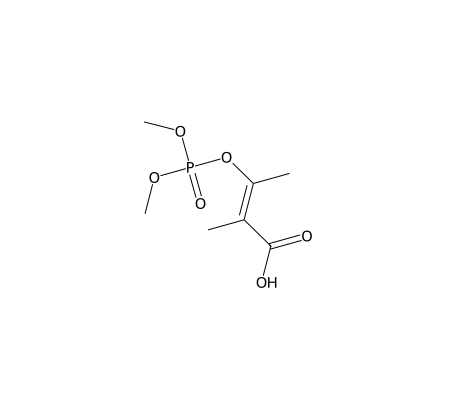 COP(=O)(OC)OC(C)=C(C)C(=O)O